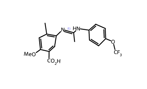 COc1cc(C)c(/N=C(\C)Nc2ccc(OC(F)(F)F)cc2)cc1C(=O)O